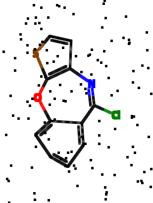 ClC1=Nc2ccsc2Oc2ccccc21